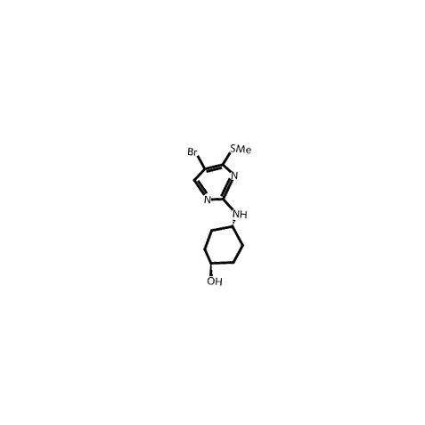 CSc1nc(N[C@H]2CC[C@H](O)CC2)ncc1Br